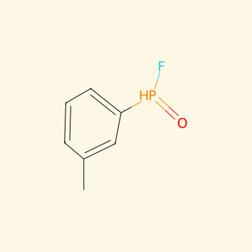 Cc1cccc([PH](=O)F)c1